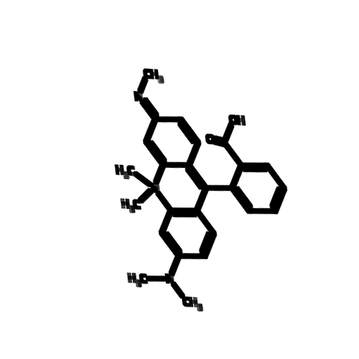 C/N=C1\C=CC2=C(c3ccccc3C(=O)O)c3ccc(N(C)C)cc3[Si](C)(C)C2=C1